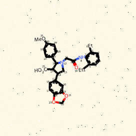 CCc1cccc(CC)c1NC(=O)CN1CC(c2ccc3c(c2)OCO3)C(C(=O)O)C1c1ccc(OC)cc1